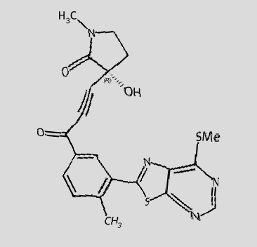 CSc1ncnc2sc(-c3cc(C(=O)C#C[C@]4(O)CCN(C)C4=O)ccc3C)nc12